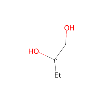 CC[C](O)CO